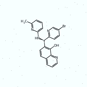 Cc1cccc(N[C@@H](c2ccc(Br)cn2)c2ccc3cccnc3c2O)n1